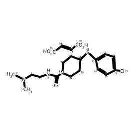 CN(C)CCNC(=O)N1CCC(Sc2ccc(Cl)cc2)CC1.O=C(O)C=CC(=O)O